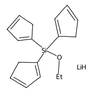 CCO[Si](C1=CC=CC1)(C1=CC=CC1)C1=CC=CC1.[LiH]